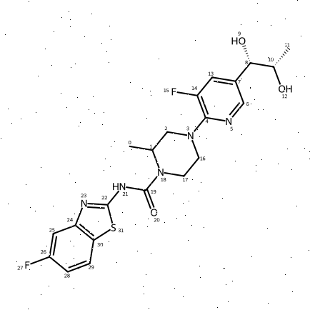 CC1CN(c2ncc([C@H](O)[C@H](C)O)cc2F)CCN1C(=O)Nc1nc2cc(F)ccc2s1